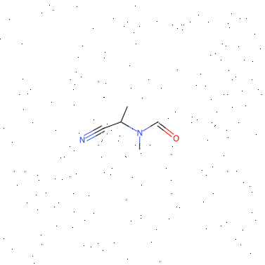 CC(C#N)N(C)C=O